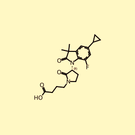 CC1(C)C(=O)N([C@@H]2CCN(CCCC(=O)O)C2=O)c2c(F)cc(C3CC3)cc21